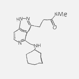 CNC(=O)CCc1n[nH]c2ccnc(NC3CCCCC3)c12